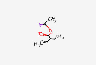 CCC(CC)C(=O)OC(C)I